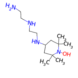 CC1(C)CC(NCCNCCN)CC(C)(C)N1O